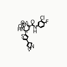 CN1[C@@H](C(=O)Nc2ccc(F)c(Cl)c2)C[C@@H](c2cc(-c3cnn(C)c3)cs2)NS1(=O)=O